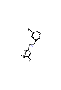 Fc1cccc(/C=C/c2cc(Cl)[nH]n2)c1